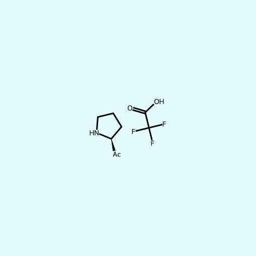 CC(=O)[C@@H]1CCCN1.O=C(O)C(F)(F)F